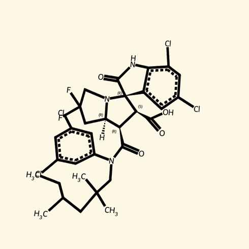 CCC(C)CC(C)(C)CN(C(=O)[C@H]1[C@H]2CC(F)(F)CN2[C@]2(C(=O)Nc3c(Cl)cc(Cl)cc32)[C@H]1C(=O)O)c1cc(Cl)cc(Cl)c1